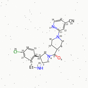 CCN[C@H]1CN(C(=O)C2CCN(c3cc(C#N)ccn3)CC2)C[C@@H]1c1ccc(Cl)cc1